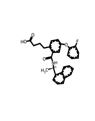 C[C@@H](NC(=O)c1cc(Oc2ccccc2F)ccc1CCCC(=O)O)c1cccc2ccccc12